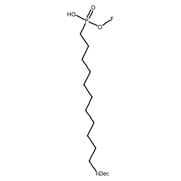 CCCCCCCCCCCCCCCCCCCCCP(=O)(O)OF